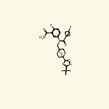 CC(C)(C)c1noc(C23CCC(CN(C(=O)C45CC(F)(C4)C5)c4ccc(F)c(C(N)=O)c4)(CC2)CC3)n1